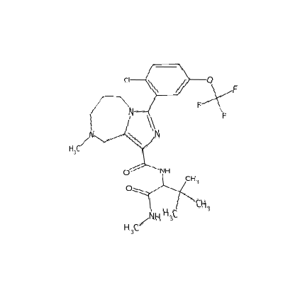 CNC(=O)C(NC(=O)c1nc(-c2cc(OC(F)(F)F)ccc2Cl)n2c1CN(C)CCC2)C(C)(C)C